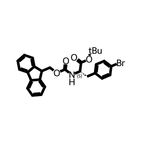 CC(C)(C)OC(=O)[C@H](Cc1ccc(Br)cc1)NC(=O)OCC1c2ccccc2-c2ccccc21